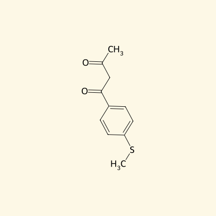 CSc1ccc(C(=O)CC(C)=O)cc1